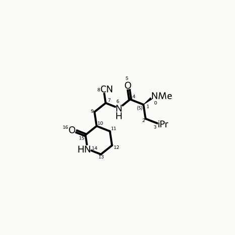 CN[C@@H](CC(C)C)C(=O)NC(C#N)CC1CCCNC1=O